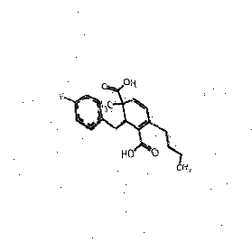 CCCCC1=C(C(=O)O)C(Cc2ccc(F)cc2)C(C)(C(=O)O)C=C1